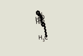 CCCCCCCCc1ccc(NC(=S)NC(=O)c2nc3ccccc3s2)cc1